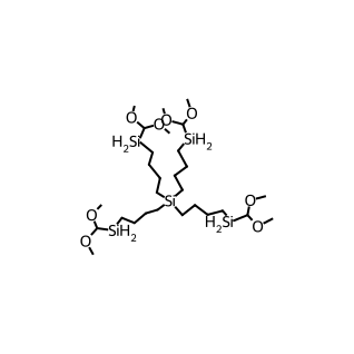 COC(OC)[SiH2]CCCC[Si](CCCC[SiH2]C(OC)OC)(CCCC[SiH2]C(OC)OC)CCCC[SiH2]C(OC)OC